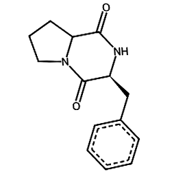 O=C1N[C@@H](Cc2ccccc2)C(=O)N2CCCC12